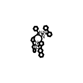 c1ccc(C2=C3/CC\C(=N/C(n4c5ccccc5c5ccccc54)=N\2)c2ccc4c(oc5cc6ccccc6cc54)c2-n2c4cc3ccc4c3cc4ccccc4cc32)cc1